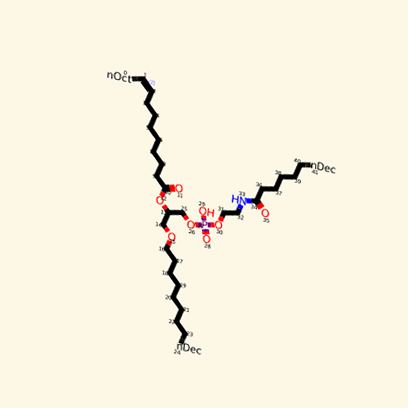 CCCCCCCC/C=C\CCCCCCCC(=O)OC(COCCCCCCCCCCCCCCCCCC)COP(=O)(O)OCCNC(=O)CCCCCCCCCCCCCCC